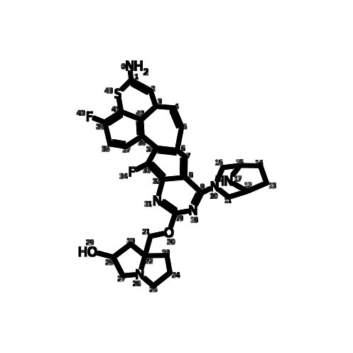 NC1=CC2C=Cc3cc4c(N5CC6CCC(C5)N6)nc(OCC56CCCN5CC(O)C6)nc4c(F)c3-c3ccc(F)c(c32)S1